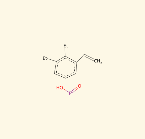 C=Cc1cccc(CC)c1CC.O=PO